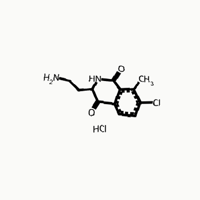 Cc1c(Cl)ccc2c1C(=O)NC(CCN)C2=O.Cl